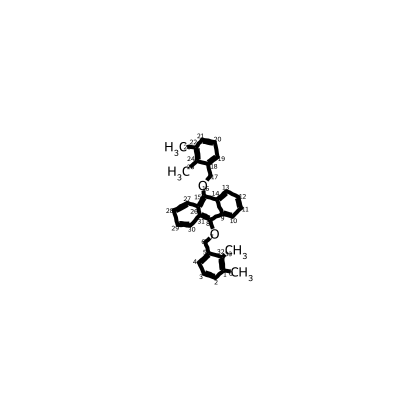 Cc1cccc(COc2c3ccccc3c(OCc3cccc(C)c3C)c3ccccc23)c1C